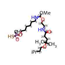 COC(NCCCCCCOP(C)(=O)S)OCCNC(=O)CCC(C)(C)OCCC(C)C